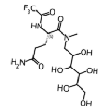 CN(CC(O)C(O)C(O)C(O)CO)C(=O)[C@H](CCC(N)=O)NC(=O)C(F)(F)F